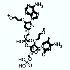 COCCOC1[C@@H](OP(=O)(O)OC[C@@H]2CC(OCCOC)[C@H](n3cnc4c(N)ncnc43)O2)[C@@H](COP(=O)(O)O)O[C@H]1n1cc(C)c(N)nc1=O